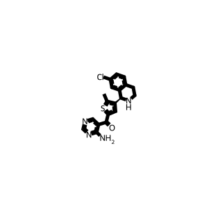 Cc1sc(C(=O)c2cncnc2N)cc1[C@@H]1NCCc2ccc(Cl)cc21